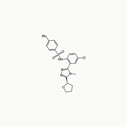 Cn1c(-c2cc(Cl)ccc2NS(=O)(=O)c2ccc(C(C)(C)C)cc2)nnc1[C@H]1CCCO1